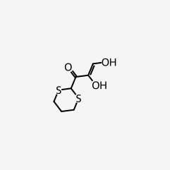 O=C(C(O)=CO)C1SCCCS1